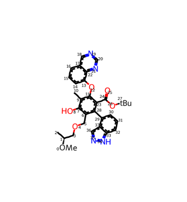 CO[C@@H](C)COCc1c(O)c(C)c(Oc2cccc3cncnc23)c(C(=O)OC(C)(C)C)c1-c1cccc2[nH]ncc12